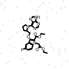 CCOC(=O)Cn1c(C(=O)OCC)c(OCC2CCCN2c2ncnc3[nH]cnc23)c2cc(F)ccc21